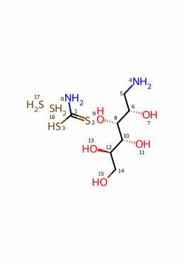 NC(=S)S.NC[C@H](O)[C@@H](O)[C@H](O)[C@H](O)CO.S.S